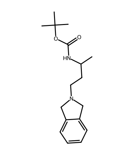 CC(CCN1Cc2ccccc2C1)NC(=O)OC(C)(C)C